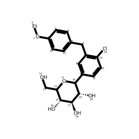 CCOc1ccc(Cc2cc(C3OC(CO)[C@@H](O)[C@H](O)[C@H]3O)ccc2Cl)cc1